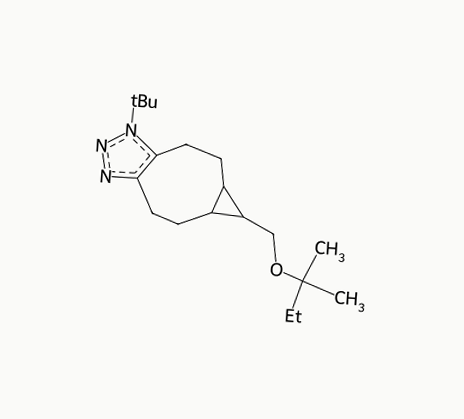 CCC(C)(C)OCC1C2CCc3nnn(C(C)(C)C)c3CCC21